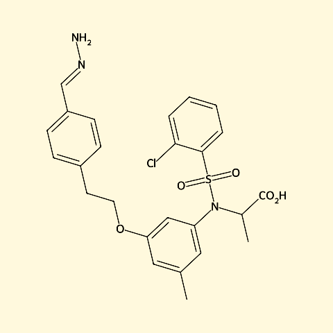 Cc1cc(OCCc2ccc(C=NN)cc2)cc(N(C(C)C(=O)O)S(=O)(=O)c2ccccc2Cl)c1